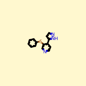 c1ccc(Sc2cnccc2-c2ccn[nH]2)cc1